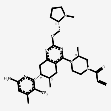 C=CC(=O)N1CCN(c2nc(OC[C@@H]3CCCN3C)nc3c2C[C@@H](C)[C@H](c2nc(N)cc(C)c2C(F)(F)F)C3)[C@@H](C)C1